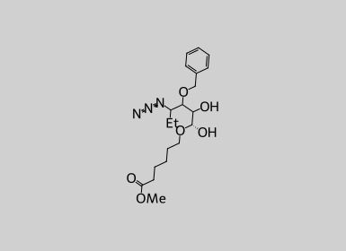 CCC(N=[N+]=[N-])C(OCc1ccccc1)C(O)[C@H](O)OCCCCCC(=O)OC